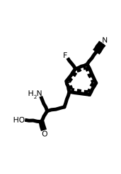 N#Cc1ccc(CC(N)C(=O)O)cc1F